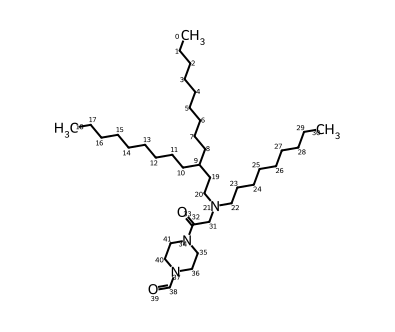 CCCCCCCCCC(CCCCCCCCC)CCN(CCCCCCCCC)CC(=O)N1CCN(C=O)CC1